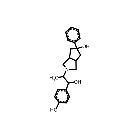 CC(C(O)c1ccc(O)cc1)N1CC2CC(O)(c3ccccc3)CC2C1